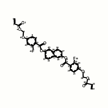 C=CC(=O)OCOc1ccc(C(=O)Oc2ccc3cc(OC(=O)c4ccc(OCOC(=O)C=C)cc4F)ccc3c2)c(F)c1